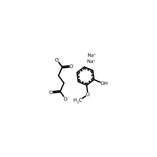 COc1ccccc1O.O=C([O-])CCC(=O)[O-].[Na+].[Na+]